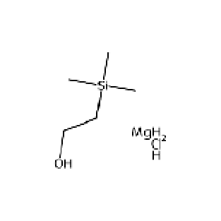 C[Si](C)(C)CCO.Cl.[MgH2]